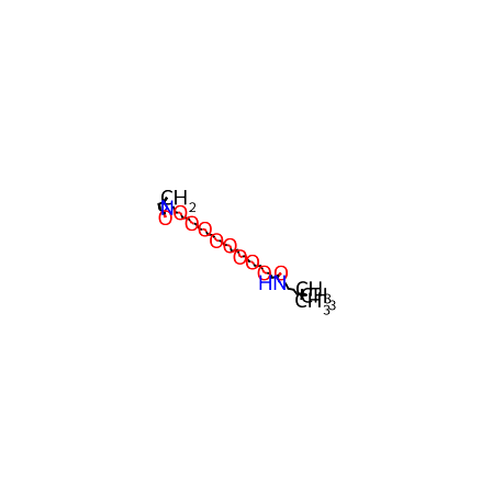 C=C1C=CC(=O)N1CCOCCOCCOCCOCCOCCOCCOCCOCCC(=O)NCCCCC(C)(C)C